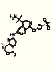 C[C@H]1COC(=O)c2ccc(Nc3cc4c(C(C)(C)N)cnc(O[C@H]5C[C@@H](S(C)(=O)=O)C5)c4cn3)nc21